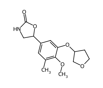 COc1c(C)cc(C2CNC(=O)O2)cc1OC1CCOC1